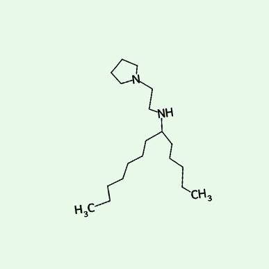 CCCCCCCC(CCCCC)NCCN1CCCC1